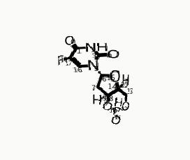 O=c1[nH]c(=O)n([C@H]2C[C@@H]3O[PH](=O)OC[C@H]3O2)cc1F